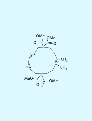 COC(=O)C1(C(=O)OC)C/C=C\C=C\CC(C(=O)OC)(C(=O)OC)CC/C(C)=C(/C)CC1